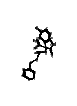 C=C(C#N)C1(OC(=O)OCc2ccccc2)C(=O)Nc2ccc(Cl)cc21